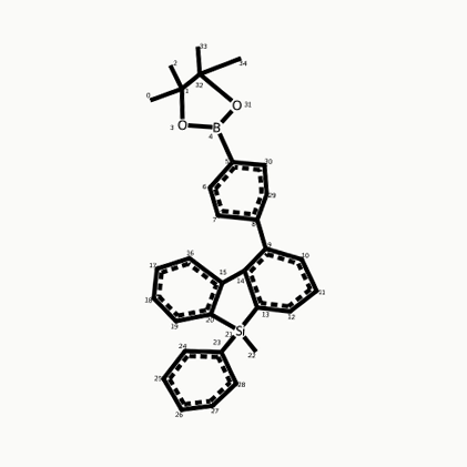 CC1(C)OB(c2ccc(-c3cccc4c3-c3ccccc3[Si]4(C)c3ccccc3)cc2)OC1(C)C